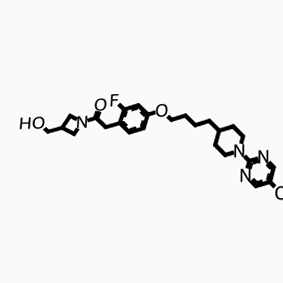 O=C(Cc1ccc(OCCCCC2CCN(c3ncc(Cl)cn3)CC2)cc1F)N1CC(CO)C1